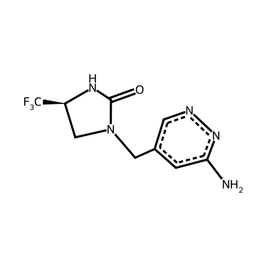 Nc1cc(CN2C[C@@H](C(F)(F)F)NC2=O)cnn1